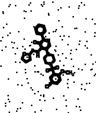 COc1ccc(Cl)cc1S(=O)(=O)N1CCN(c2cnn(-c3ccccc3)c(=O)c2NCC2CCCO2)CC1